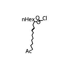 CCCCCCC(C/C=C/CCCCCCCC(C)=O)OC(=O)CCl